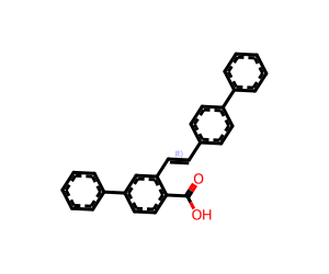 O=C(O)c1ccc(-c2ccccc2)cc1/C=C/c1ccc(-c2ccccc2)cc1